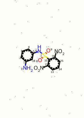 Nc1cccc(NS(=O)(=O)c2c([N+](=O)[O-])cccc2[N+](=O)[O-])c1